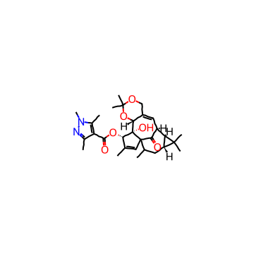 CC1=CC23C(=O)[C@@H](C=C4COC(C)(C)O[C@H]4[C@]2(O)[C@H]1OC(=O)c1c(C)nn(C)c1C)[C@H]1[C@@H](CC3C)C1(C)C